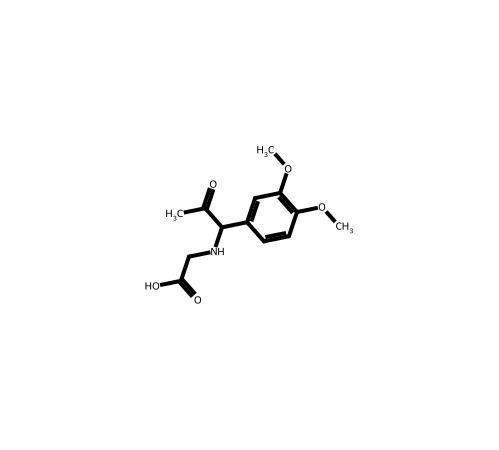 COc1ccc(C(NCC(=O)O)C(C)=O)cc1OC